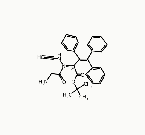 C#CNN(C(=O)CN)[C@H](C(=O)OC(C)(C)C)C(=C(c1ccccc1)c1ccccc1)c1ccccc1